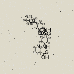 O=C(O)c1cccnc1Nc1ccc(S(=O)(=O)Nc2ccc(C34CC5CC(CC3C5)C4)cc2Cl)cc1